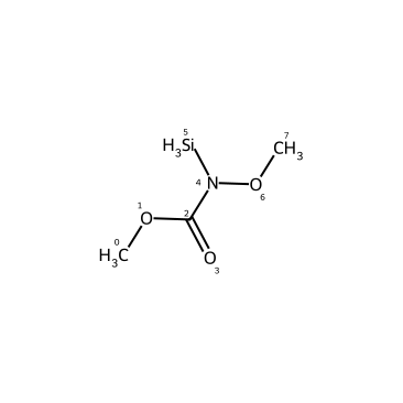 COC(=O)N([SiH3])OC